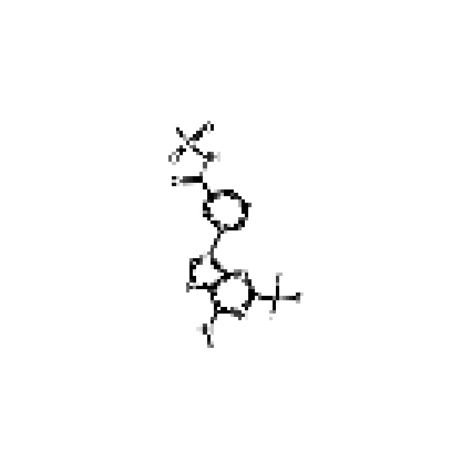 CNc1nc(C(F)(F)F)nc2c1ncn2-c1cccc(C(=O)NS(C)(=O)=O)c1